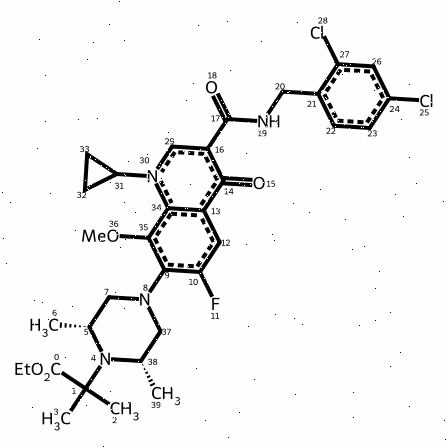 CCOC(=O)C(C)(C)N1[C@H](C)CN(c2c(F)cc3c(=O)c(C(=O)NCc4ccc(Cl)cc4Cl)cn(C4CC4)c3c2OC)C[C@@H]1C